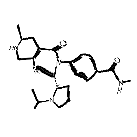 CNC(=O)c1ccc(-n2c([C@@H]3CCCN3C(C)C)nc3c(c2=O)CC(C)NC3)cc1